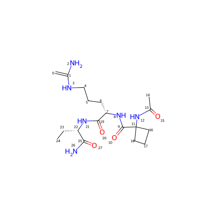 C=C(N)NCCC[C@H](NC(=O)C1(NC(C)=O)CCC1)C(=O)N[C@@H](CC)C(N)=O